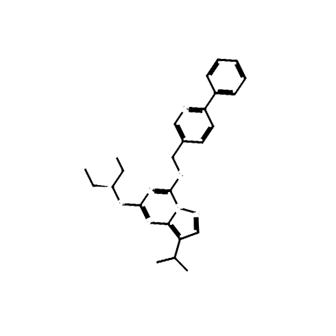 CC[C@@H](CO)Nc1nc(NCc2ccc(-c3ccccc3)nc2)n2ncc(C(C)C)c2n1